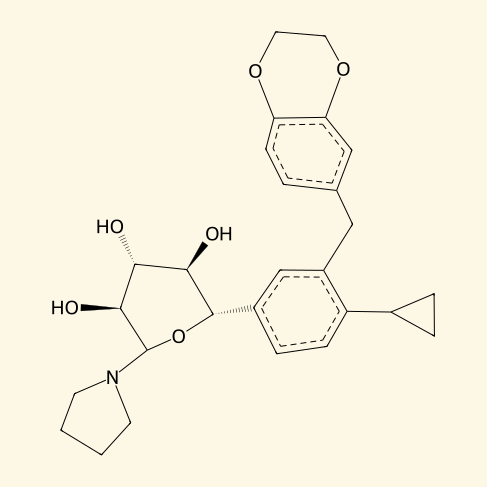 O[C@@H]1[C@@H](O)[C@H](c2ccc(C3CC3)c(Cc3ccc4c(c3)OCCO4)c2)OC(N2CCCC2)[C@H]1O